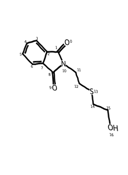 O=C1c2ccccc2C(=O)N1CCSCCO